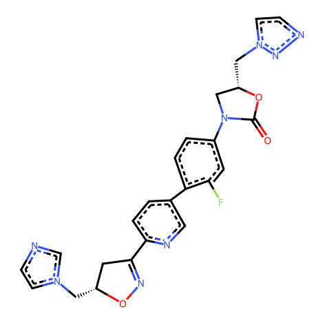 O=C1O[C@@H](Cn2ccnn2)CN1c1ccc(-c2ccc(C3=NO[C@H](Cn4ccnc4)C3)nc2)c(F)c1